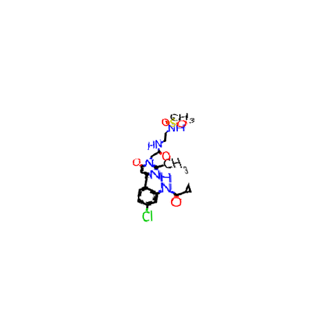 Cc1nc(-c2ccc(Cl)cc2NC(=O)C2CC2)cc(=O)n1CC(=O)NCCNS(C)(=O)=O